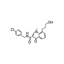 Cn1cc(C(=O)NCc2ccc(Cl)cc2)c(=O)c2cccc(CCCO)c21